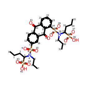 CCCC(N(CCC)S(=O)(=O)c1ccc2c(c1)C(=O)c1c(cccc1S(=O)(=O)N(CCC)C(CCC)S(=O)(=O)O)C2=O)S(=O)(=O)O